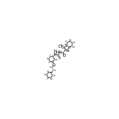 O=C(NC(=S)Nc1cccc(OCCc2ccccc2)c1)c1sc2ccccc2c1Cl